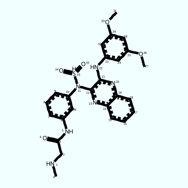 CNCC(=O)Nc1cccc(N(c2nc3ccccc3nc2Nc2cc(OC)cc(OC)c2)[SH](=O)=O)c1